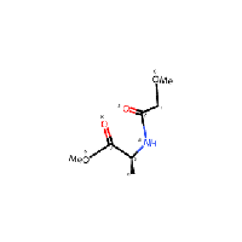 COCC(=O)N[C@@H](C)C(=O)OC